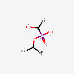 CCCCC(CCC)OP(=O)(O)C(O)CC